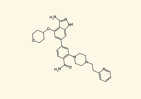 NC(=O)c1ccc(-c2cc(OC3CCOCC3)c3c(N)n[nH]c3c2)cc1N1CCN(CCc2ccccn2)CC1